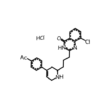 CC(=O)c1ccc(C2=CCNC(CCCc3nc4c(Cl)cccc4c(=O)[nH]3)C2)cc1.Cl